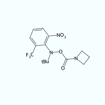 CC(C)(C)N(OC(=O)N1CCC1)c1c([N+](=O)[O-])cccc1C(F)(F)F